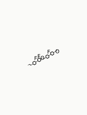 C/C=C/c1ccc(-c2ccc(OCc3ccc(-c4ccc(C5CO5)cc4F)cc3)c(F)c2F)cc1